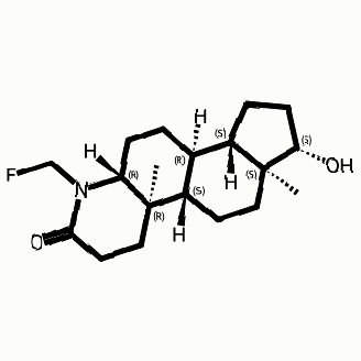 C[C@]12CC[C@H]3[C@@H](CC[C@H]4N(CF)C(=O)CC[C@]34C)[C@@H]1CC[C@@H]2O